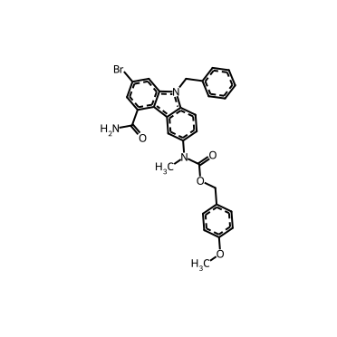 COc1ccc(COC(=O)N(C)c2ccc3c(c2)c2c(C(N)=O)cc(Br)cc2n3Cc2ccccc2)cc1